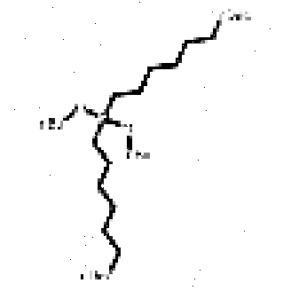 CCCCCCCCCCCCCCCC[Si](CCCCCCCCCCCCCCCC)(OCCCC)OCCCC